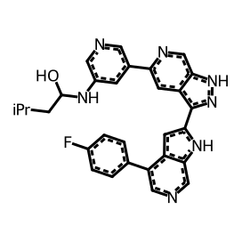 CC(C)CC(O)Nc1cncc(-c2cc3c(-c4cc5c(-c6ccc(F)cc6)cncc5[nH]4)n[nH]c3cn2)c1